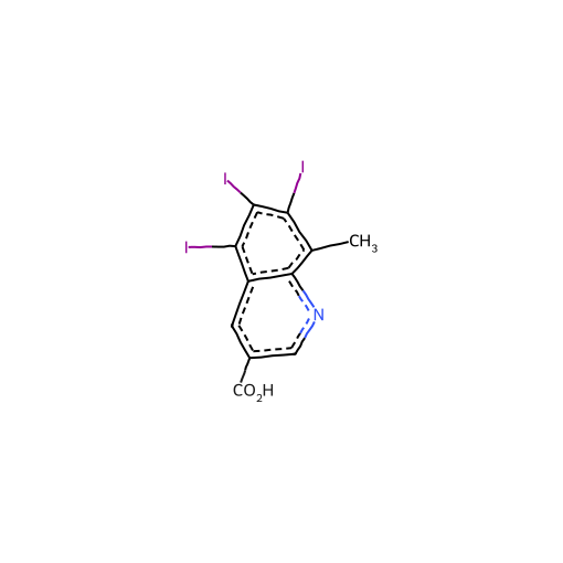 Cc1c(I)c(I)c(I)c2cc(C(=O)O)cnc12